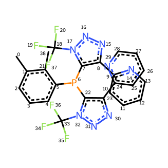 Cc1cccc(P(c2c(-c3ccccn3)nnn2C(F)(F)F)c2c(-c3ccccn3)nnn2C(F)(F)F)c1C